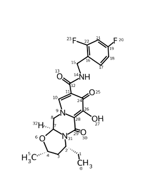 CC[C@@H]1C[C@H](C)O[C@H]2Cn3cc(C(=O)NCc4ccc(F)cc4F)c(=O)c(O)c3C(=O)N12